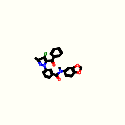 Cc1nn(-c2cccc(C(=O)N(C)c3ccc4c(c3)OCO4)c2)c(C(=O)c2ccccc2)c1Cl